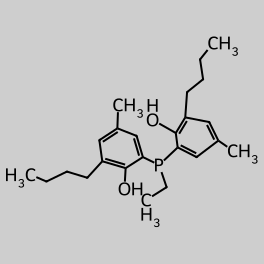 CCCCc1cc(C)cc(P(CC)c2cc(C)cc(CCCC)c2O)c1O